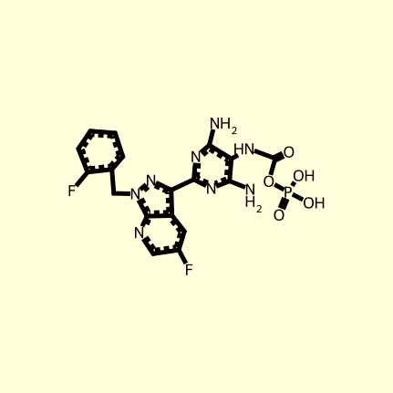 Nc1nc(-c2nn(Cc3ccccc3F)c3ncc(F)cc23)nc(N)c1NC(=O)OP(=O)(O)O